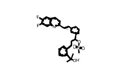 CC(C)(O)c1ccccc1CCC(OS(C)(=O)=O)c1cccc(/C=C/c2ccc3cc(F)c(F)cc3n2)c1